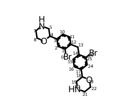 Brc1cc(C2CNCCO2)ccc1Cc1ccc(C2CNCCO2)cc1Br